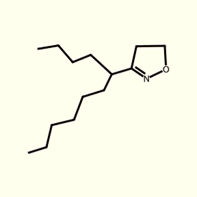 CCCCCCC(CCCC)C1=NOCC1